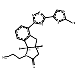 CC(C)c1ncc(-c2nc(-c3cccc4c3C[C@@H]3CC(=O)N(CCO)[C@H]43)no2)s1